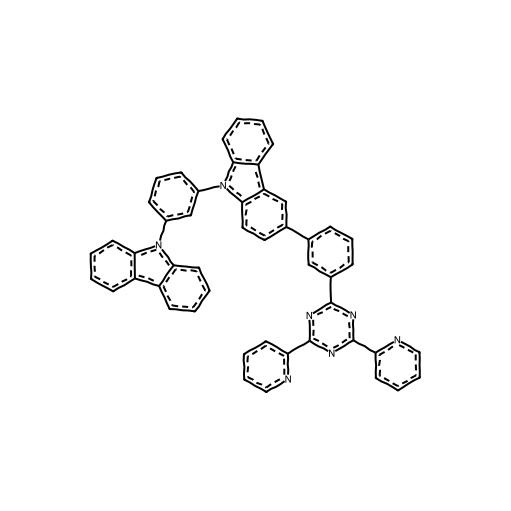 c1ccc(-c2nc(-c3cccc(-c4ccc5c(c4)c4ccccc4n5-c4cccc(-n5c6ccccc6c6ccccc65)c4)c3)nc(-c3ccccn3)n2)nc1